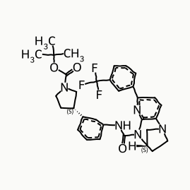 CC(C)(C)OC(=O)N1CC[C@@H](c2cccc(NC(=O)N3c4nc(-c5cccc(C(F)(F)F)c5)ccc4N4CC[C@H]3C4)c2)C1